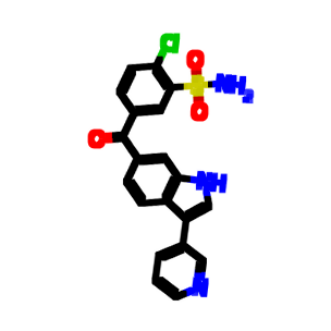 NS(=O)(=O)c1cc(C(=O)c2ccc3c(-c4cccnc4)c[nH]c3c2)ccc1Cl